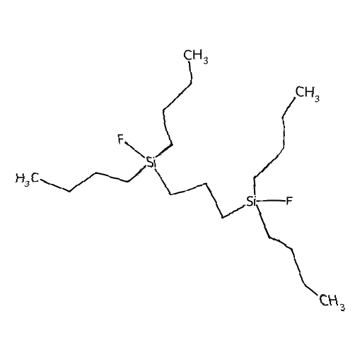 CCCC[Si](F)(CCCC)CCC[Si](F)(CCCC)CCCC